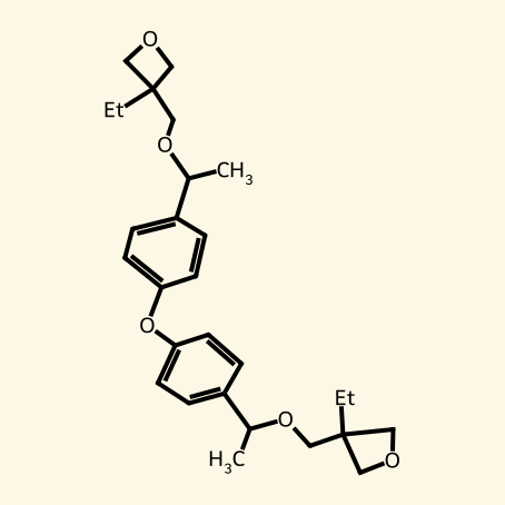 CCC1(COC(C)c2ccc(Oc3ccc(C(C)OCC4(CC)COC4)cc3)cc2)COC1